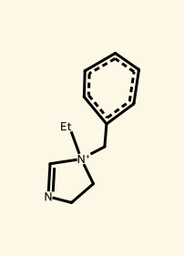 CC[N+]1(Cc2ccccc2)C=NCC1